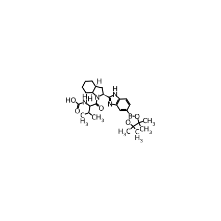 CC(C)C(NC(=O)O)C(=O)N1[C@H](c2nc3cc(B4OC(C)(C)C(C)(C)O4)ccc3[nH]2)C[C@@H]2CCCC[C@@H]21